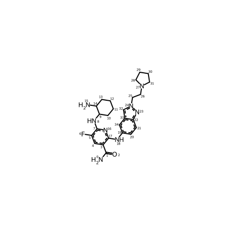 NC(=O)c1cc(F)c(NC2CCCCC2N)nc1Nc1ccc2nn(CCN3CCCC3)cc2c1